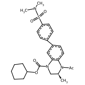 CC(=O)N1c2ccc(-c3ccc(S(=O)(=O)N(C)C)cc3)cc2N(C(=O)OC2CCCCC2)C[C@@H]1C